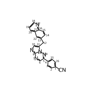 N#Cc1ccc(-c2cnc3ncc(Cc4ccc5ncccc5c4)n3n2)cc1